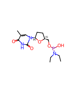 CCN(CC)P(O)OC[C@@H]1CC[C@H](n2cc(C)c(=O)[nH]c2=O)O1